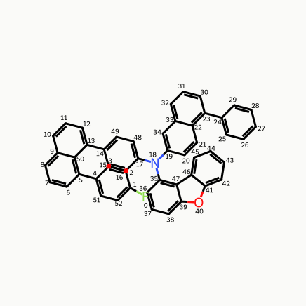 Fc1ccc(-c2cccc3cccc(-c4ccc(N(c5ccc6c(-c7ccccc7)cccc6c5)c5cccc6oc7ccccc7c56)cc4)c23)cc1